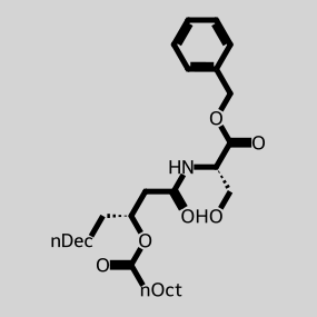 CCCCCCCCCCC[C@H](CC(=O)N[C@@H](CO)C(=O)OCc1ccccc1)OC(=O)CCCCCCCC